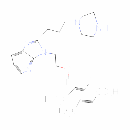 CCOCCn1c(CCCN2CCNCC2)nc2cccnc21.O=C(O)C=CC(=O)O.O=C(O)C=CC(=O)O